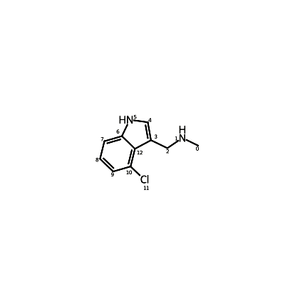 CNCc1c[nH]c2cccc(Cl)c12